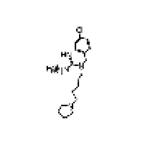 Cl.Cl.N=C(N)N(CCCCCN1CCCC1)Cc1ccc(Cl)cc1